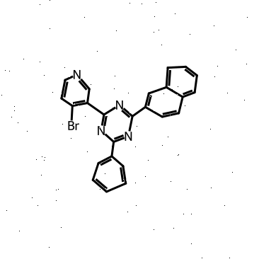 Brc1ccncc1-c1nc(-c2ccccc2)nc(-c2ccc3ccccc3c2)n1